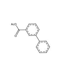 CC(=O)OC(=O)c1cccc(-c2ccccc2)c1